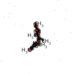 CCNCc1cc(COc2cc3c(cc2OC)C(=O)N2C=C(c4ccc(OC)cc4)CC2C=N3)cc(COc2cc3c(cc2OC)C(=O)N2C=C(c4ccc(OC)cc4)CC2C=N3)c1